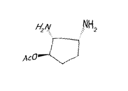 CC(=O)O[C@@H]1CC[C@@H](N)[C@H]1N